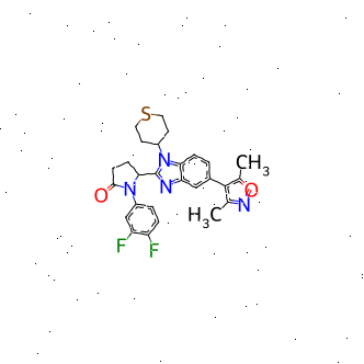 Cc1noc(C)c1-c1ccc2c(c1)nc(C1CCC(=O)N1c1ccc(F)c(F)c1)n2C1CCSCC1